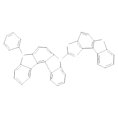 c1ccc(-n2c3ccccc3c3c4c5ccccc5n(-c5nc6c(ccc7sc8ccccc8c76)o5)c4ccc32)cc1